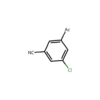 CC(=O)c1cc(Cl)cc(C#N)c1